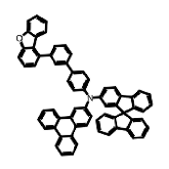 c1cc(-c2ccc(N(c3ccc4c(c3)C3(c5ccccc5-c5ccccc53)c3ccccc3-4)c3ccc4c5ccccc5c5ccccc5c4c3)cc2)cc(-c2cccc3oc4ccccc4c23)c1